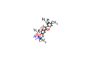 Cc1ccc(-c2coc3c(C)c(O)c(CC(C)N)cc3c2=O)cc1C